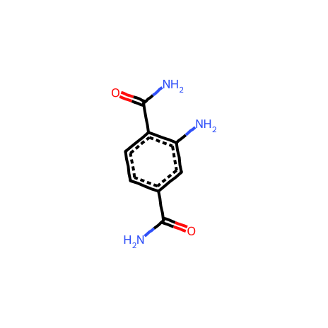 NC(=O)c1ccc(C(N)=O)c(N)c1